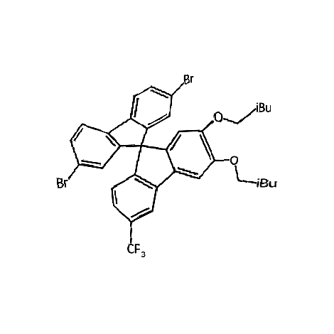 CCC(C)COc1cc2c(cc1OCC(C)CC)C1(c3ccc(C(F)(F)F)cc3-2)c2cc(Br)ccc2-c2ccc(Br)cc21